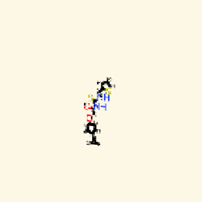 O=C(COc1ccc(C2CC2)cc1)NC(=S)NCc1cccs1